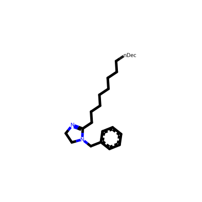 CCCCCCCCCCCCCCCCCCC1=NCCN1Cc1ccccc1